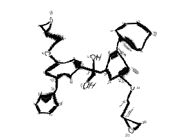 OC(O)(c1cc(OCC2CO2)cc(-c2ccccc2)c1)c1cc(OCC2CO2)cc(-c2ccccc2)c1